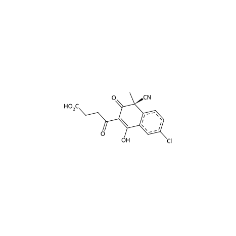 C[C@@]1(C#N)C(=O)C(C(=O)CCC(=O)O)=C(O)c2cc(Cl)ccc21